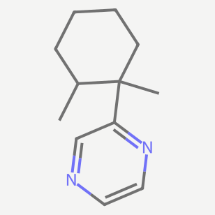 CC1CCCCC1(C)c1cnccn1